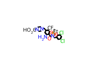 CCS(=O)(=O)N(Cc1cc(Cl)cc(Cl)c1)C(=O)c1cc(C(F)(F)F)c(CN2CCN(C(=O)O)CC2)cc1N